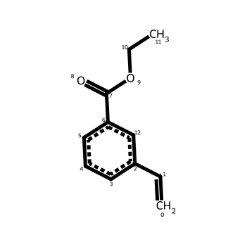 C=[C]c1cccc(C(=O)OCC)c1